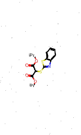 CC(C)OC(=O)C(Sc1nc2ccccc2s1)C(=O)OC(C)C